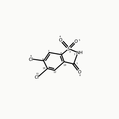 O=C1NS(=O)(=O)c2cc(Cl)c(Cl)cc21